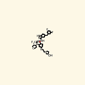 CN(CCN1CCC(O)C1)c1ccc(C(=O)Nc2n[nH]c3ccc(Cc4cc(F)cc(F)c4)cc23)c(N(C(=O)C(F)(F)F)C2CCOCC2)c1